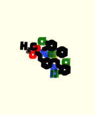 COC(=O)C(Cc1ccc2c(c1)C(Sc1ccccc1)CC(c1c(Cl)cccc1Cl)N2)NCc1c(Cl)cccc1Cl